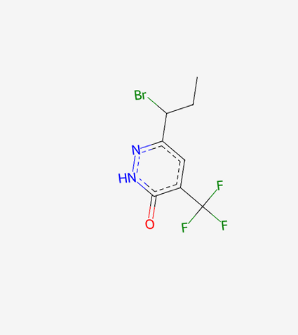 CCC(Br)c1cc(C(F)(F)F)c(=O)[nH]n1